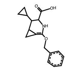 O=C(O)C1NC(OCc2ccccc2)=C2CC2C1C1CC1